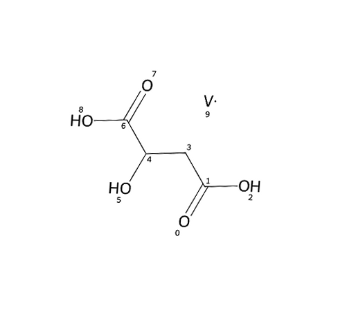 O=C(O)CC(O)C(=O)O.[V]